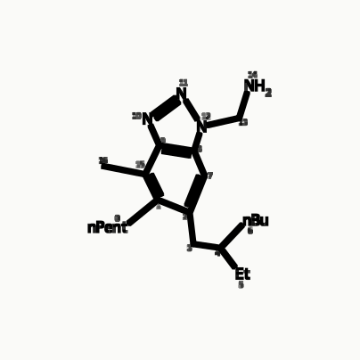 CCCCCc1c(CC(CC)CCCC)cc2c(nnn2CN)c1C